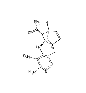 Cc1cnc(N)c([N+](=O)[O-])c1N[C@H]1[C@@H](C(N)=O)[C@@H]2C=C[C@H]1C2